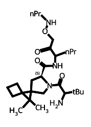 CCCNOCC(=O)C(CCC)NC(=O)[C@@H]1CC2(CN1C(=O)C(N)C(C)(C)C)C(C)(C)C21CCC1